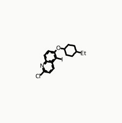 CCC1CCC(Oc2ccc3nc(Cl)ccc3c2I)CC1